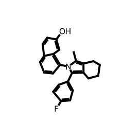 Cc1c2c(c(-c3ccc(F)cc3)n1-c1cccc3ccc(O)cc13)CCCC2